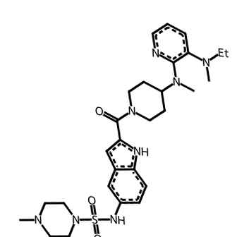 CCN(C)c1cccnc1N(C)C1CCN(C(=O)c2cc3cc(NS(=O)(=O)N4CCN(C)CC4)ccc3[nH]2)CC1